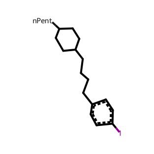 CCCCCC1CCC(CCCCc2ccc(I)cc2)CC1